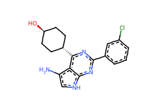 Nc1c[nH]c2nc(-c3cccc(Cl)c3)nc([C@H]3CC[C@H](O)CC3)c12